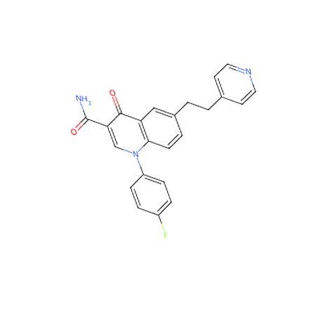 NC(=O)c1cn(-c2ccc(F)cc2)c2ccc(CCc3ccncc3)cc2c1=O